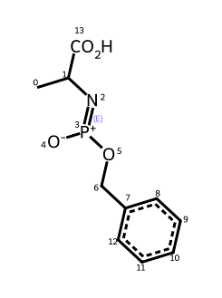 CC(/N=[P+](\[O-])OCc1ccccc1)C(=O)O